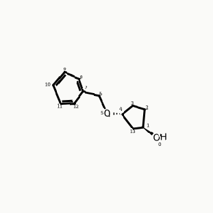 O[C@@H]1CC[C@@H](OCc2ccccc2)C1